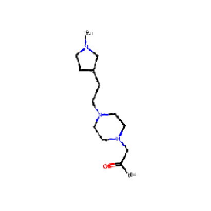 CC(C)(C)C(=O)CN1CCN(CCC2CCN(C(C)(C)C)C2)CC1